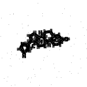 C[C@]12CCC(=O)C=C1CC[C@@H]1[C@@H]2CC[C@]2(C)C(c3c[nH]cn3)=CC[C@@H]12